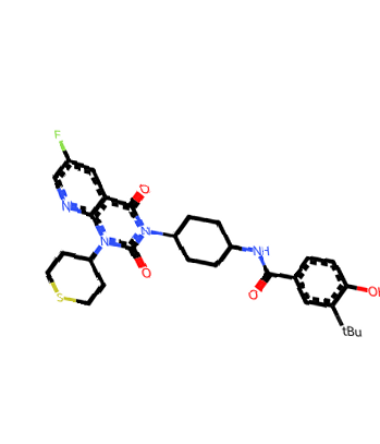 CC(C)(C)c1cc(C(=O)NC2CCC(n3c(=O)c4cc(F)cnc4n(C4CCSCC4)c3=O)CC2)ccc1O